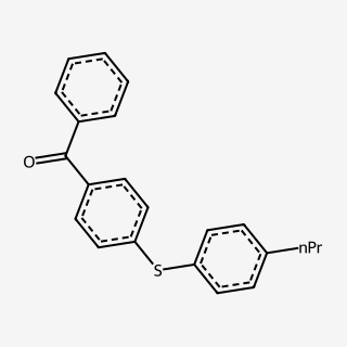 CCCc1ccc(Sc2ccc(C(=O)c3ccccc3)cc2)cc1